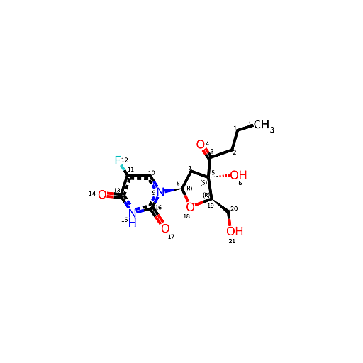 CCCC(=O)[C@]1(O)C[C@H](n2cc(F)c(=O)[nH]c2=O)O[C@@H]1CO